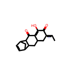 C/C=C1\CC2CC3C4C=CC(C4)C3C(=O)C2=C(O)C1=O